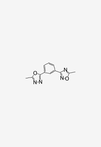 Cc1nc(-c2cccc(-c3nnc(C)o3)c2)no1